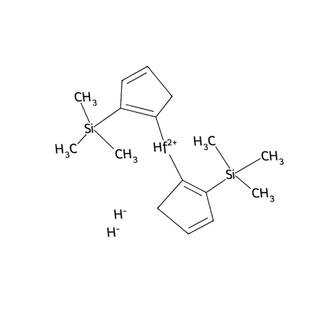 C[Si](C)(C)C1=[C]([Hf+2][C]2=C([Si](C)(C)C)C=CC2)CC=C1.[H-].[H-]